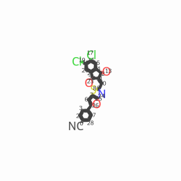 N#Cc1ccc(-c2cc3sc(C=C4C(=O)c5cc(Cl)c(Cl)cc5C4=O)nc3o2)cc1